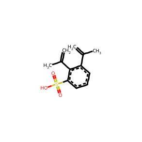 C=C(C)c1cccc(S(=O)(=O)O)c1C(=C)C